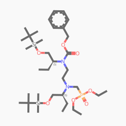 CCOP(=O)(CN(CCN(C(=O)OCc1ccccc1)[C@@H](CC)CO[Si](C)(C)C(C)(C)C)[C@@H](CC)CO[Si](C)(C)C(C)(C)C)OCC